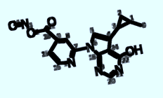 CC1CC1c1cn(-c2cc(C(=O)ON=O)ccn2)c2ncnc(O)c12